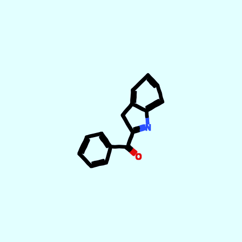 O=C(C1=Nc2ccccc2C1)c1ccccc1